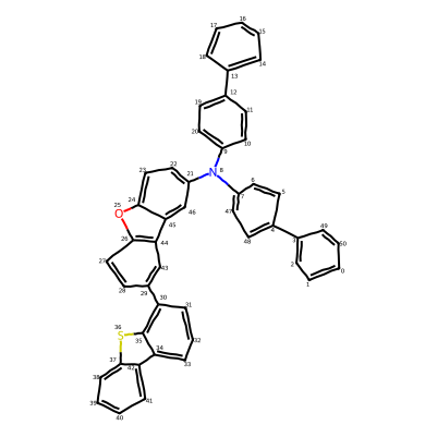 c1ccc(-c2ccc(N(c3ccc(-c4ccccc4)cc3)c3ccc4oc5ccc(-c6cccc7c6sc6ccccc67)cc5c4c3)cc2)cc1